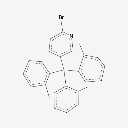 Cc1ccccc1C(c1ccc(Br)nc1)(c1ccccc1C)c1ccccc1C